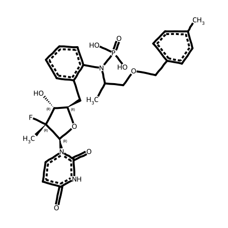 Cc1ccc(COCC(C)N(c2ccccc2C[C@H]2O[C@@H](n3ccc(=O)[nH]c3=O)[C@](C)(F)[C@@H]2O)P(=O)(O)O)cc1